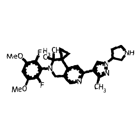 COc1cc(OC)c(F)c(N2Cc3cnc(-c4cn(C5CCNC5)nc4C)cc3C3(CC3)C2(C)C)c1F